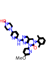 COc1ccc(N2C(=O)N(c3c(C)cccc3C)Cc3cnc(Nc4ccc(N5CCN(O)CC5)cn4)nc32)nc1